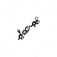 Cc1cc(C#N)c(N2CCC3(CCN(CCc4ccc5c(c4C)COC5=O)CC3)CC2)nn1